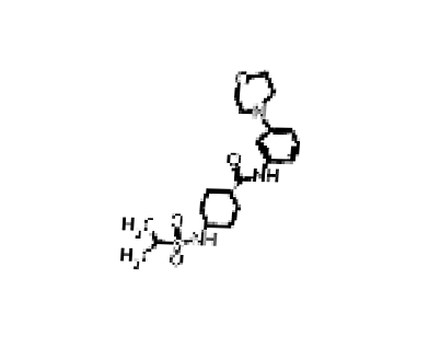 CC(C)S(=O)(=O)N[C@H]1CC[C@H](C(=O)Nc2cccc(N3CCOCC3)c2)CC1